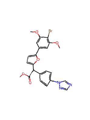 COC(=O)C(c1ccc(-n2cncn2)cc1)c1ccc(-c2cc(OC)c(Br)c(OC)c2)o1